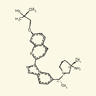 C[C@H](c1ccc2nnc(-c3ccc4ccc(OCC(C)(C)O)cc4n3)n2c1)N1CC[C@](C)(N)C1